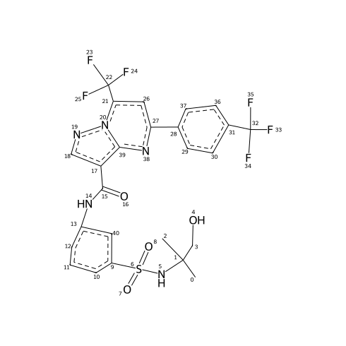 CC(C)(CO)NS(=O)(=O)c1cccc(NC(=O)c2cnn3c(C(F)(F)F)cc(-c4ccc(C(F)(F)F)cc4)nc23)c1